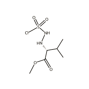 COC(=O)[C@H](NNS(=O)(=O)Cl)C(C)C